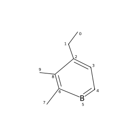 CCc1ccbc(C)c1C